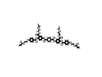 C=CC(=O)OCCOc1ccc(C(=O)Oc2ccc(OC(=O)C3CCC(C(=O)Oc4ccc(OC(=O)c5ccc(OCCOC(=O)C=C)cc5)c(C(=O)OCCOCC)c4)CC3)cc2C(=O)OCCOCC)cc1